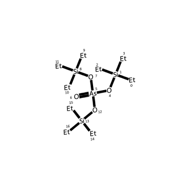 CC[Si](CC)(CC)O[As](=O)(O[Si](CC)(CC)CC)O[Si](CC)(CC)CC